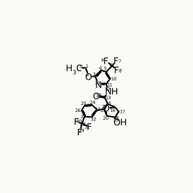 CCOc1cc(C(F)(F)F)cc(NC(=O)C2C3CC(O)C(O3)C2c2cccc(C(F)(F)F)c2)n1